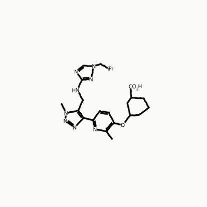 Cc1nc(-c2nnn(C)c2CNc2ncn(CC(C)C)n2)ccc1OC1CCCC(C(=O)O)C1